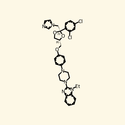 CCn1c(N2CCN(c3ccc(OC[C@@H]4CO[C@@](Cn5ccnc5)(c5ccc(Cl)cc5Cl)O4)cc3)CC2)nc2ccccc21